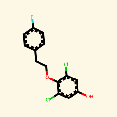 Oc1cc(Cl)c(OCCc2ccc(F)cc2)c(Cl)c1